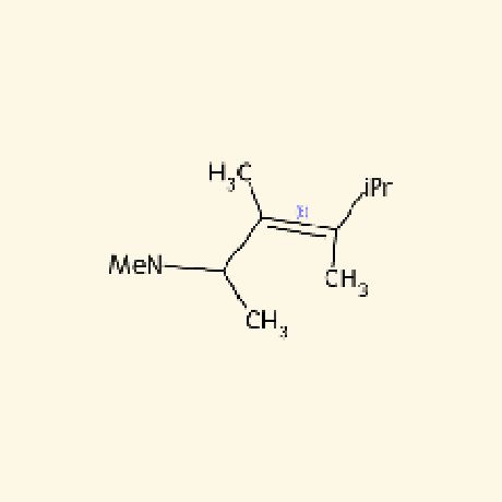 CNC(C)/C(C)=C(\C)C(C)C